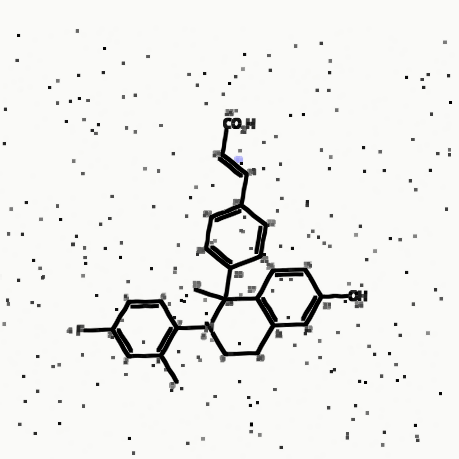 Cc1cc(F)ccc1N1CCc2cc(O)ccc2C1(C)c1ccc(/C=C/C(=O)O)cc1